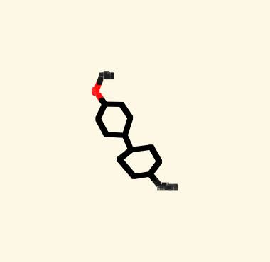 CCCCCCCCCC1CCC(C2CCC(OCCCC)CC2)CC1